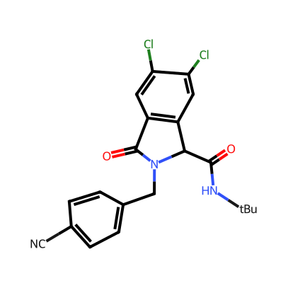 CC(C)(C)NC(=O)C1c2cc(Cl)c(Cl)cc2C(=O)N1Cc1ccc(C#N)cc1